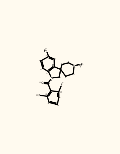 CCCN1CCC2(CC1)CN(C(=O)c1c(F)cccc1F)c1ccc(C(C)C)cc12